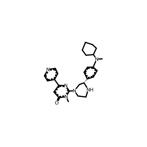 CN(c1ccc([C@H]2CN(c3nc(-c4ccncc4)cc(=O)n3C)CCN2)cc1)C1CCCCC1